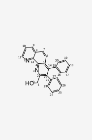 OCc1nc2c(ccc3cccnc32)c(-c2ccccc2)c1-c1ccccc1